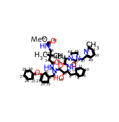 CCC(C)C(C(=O)NC(Cc1ccccc1)C(O)CN(Cc1cccc(Oc2ccccc2)c1)NC(=O)CC(C)(C)CNC(=O)OC)N1CCN(Cc2cccc(C)n2)C1=O